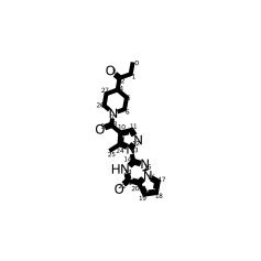 CCC(=O)C1CCN(C(=O)c2cnn(-c3nn4cccc4c(=O)[nH]3)c2C)CC1